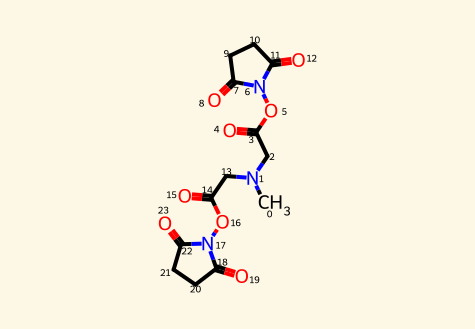 CN(CC(=O)ON1C(=O)CCC1=O)CC(=O)ON1C(=O)CCC1=O